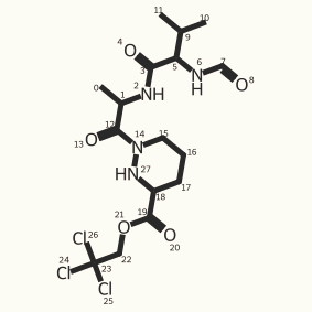 CC(NC(=O)C(NC=O)C(C)C)C(=O)N1CCCC(C(=O)OCC(Cl)(Cl)Cl)N1